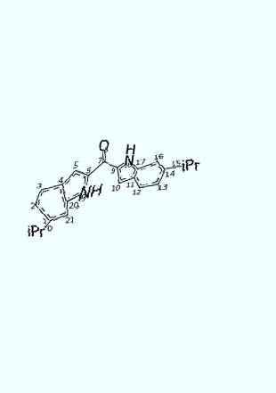 CC(C)c1ccc2cc(C(=O)c3cc4ccc(C(C)C)cc4[nH]3)[nH]c2c1